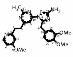 COc1ccnc(CCc2cc(-n3nc(N)nc3Cc3ccc(OC)c(OC)c3)nc(C)n2)c1